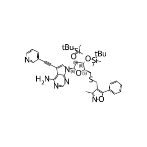 Cc1noc(-c2ccccc2)c1CSC[C@H]1O[C@@H](n2cc(C#Cc3cccnc3)c3c(N)ncnc32)[C@H](O[Si](C)(C)C(C)(C)C)[C@@H]1O[Si](C)(C)C(C)(C)C